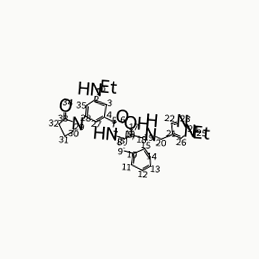 CCNc1cc(C(=O)N[C@@H](Cc2ccccc2)[C@@H](O)CNCc2cnn(CC)c2)cc(N2CCCC2=O)c1